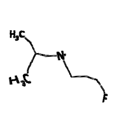 CC(C)[N]CCF